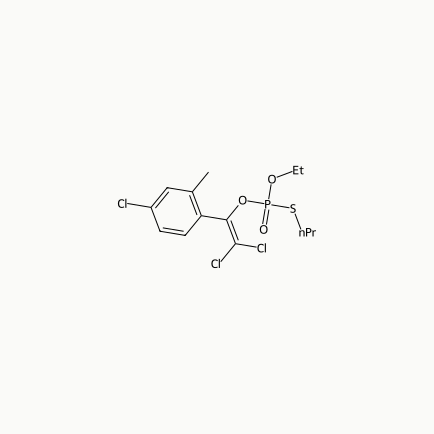 CCCSP(=O)(OCC)OC(=C(Cl)Cl)c1ccc(Cl)cc1C